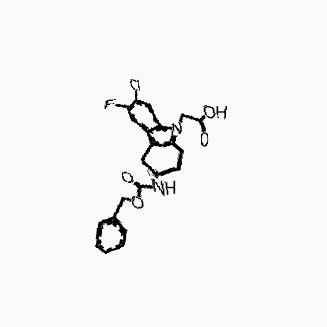 O=C(O)Cn1c2c(c3cc(F)c(Cl)cc31)C[C@@H](NC(=O)OCc1ccccc1)CC2